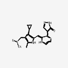 CCN(CC)Cc1c(C)[nH]c(C=C2NC=CN=C2C2C=NNC2=O)c1C1CC1